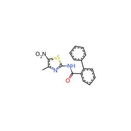 Cc1nc(NC(=O)c2ccccc2-c2ccccc2)sc1[N+](=O)[O-]